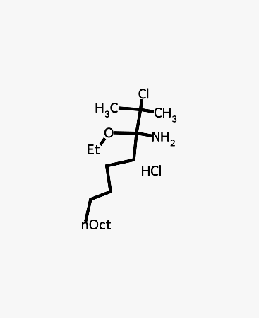 CCCCCCCCCCCCC(N)(OCC)C(C)(C)Cl.Cl